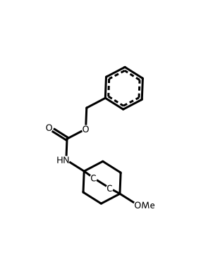 COC12CCC(NC(=O)OCc3ccccc3)(CC1)CC2